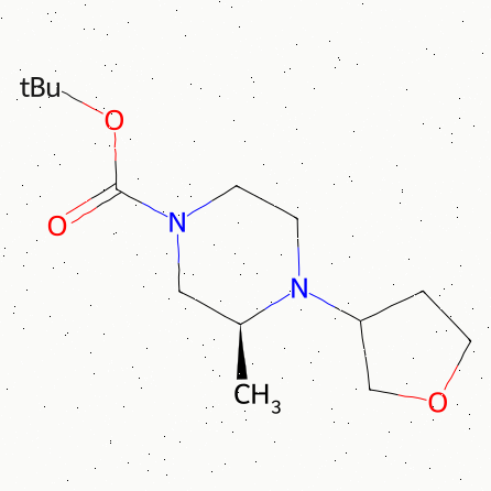 C[C@H]1CN(C(=O)OC(C)(C)C)CCN1C1CCOC1